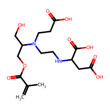 C=C(C)C(=O)OCC(CO)N(CCNC(CC(=O)O)C(=O)O)CCC(=O)O